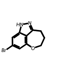 Brc1cc2c3c(n[nH]c3c1)CCCO2